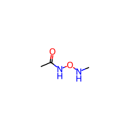 CNONC(C)=O